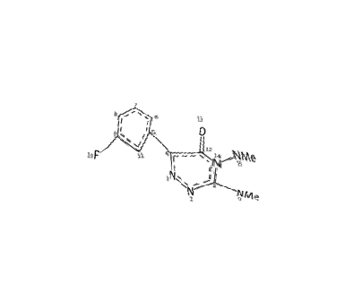 CNc1nnc(-c2cccc(F)c2)c(=O)n1NC